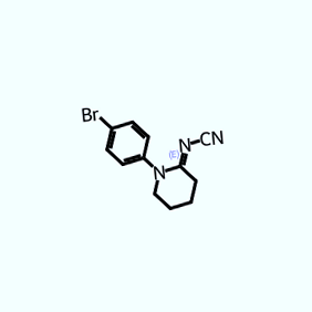 N#C/N=C1\CCCCN1c1ccc(Br)cc1